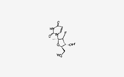 C[C@@]1(n2ccc(=O)[nH]c2=O)O[C@H](CO)[C@@H](O)C1F